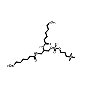 CCCCCCCCCCCCCCCC(=O)NCC(COP(=O)([O-])OCCC[N+](C)(C)C)NC(=O)CCCCCCCCCCCCCCC